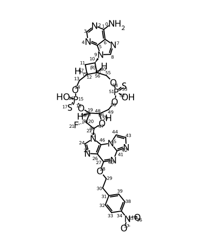 Nc1ncnc2c1ncn2[C@@H]1C[C@@H]2COP(O)(=S)O[C@H]3[C@@H](F)[C@H](n4cnc5c(OCCc6ccc([N+](=O)[O-])cc6)nc6nccn6c54)O[C@@H]3COP(O)(=S)OC[C@H]21